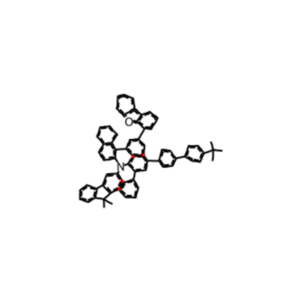 CC(C)(C)c1ccc(-c2ccc(-c3ccc(N(c4ccc5c(c4)-c4ccccc4C5(C)C)c4ccc5ccccc5c4-c4cccc(-c5cccc6c5oc5ccccc56)c4)c(-c4ccccc4)c3)cc2)cc1